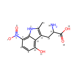 Cc1[nH]c2c([N+](=O)[O-])ccc(O)c2c1CC(N)C(=O)O